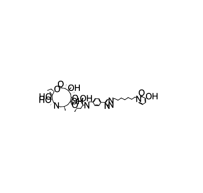 CC[C@H]1OC(=O)[C@H](C)[C@@H](O)[C@H](C)[C@@H](O[C@@H]2O[C@H](C)C[C@H](N(C)Cc3ccc(-c4cn(CCCCCCCn5cccc(O)c5=O)nn4)cc3)[C@@H]2O)[C@](C)(O)C[C@@H](C)CN(C)[C@H](C)[C@@H](O)[C@]1(C)O